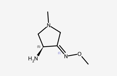 CO/N=C1\CN(C)C[C@@H]1N